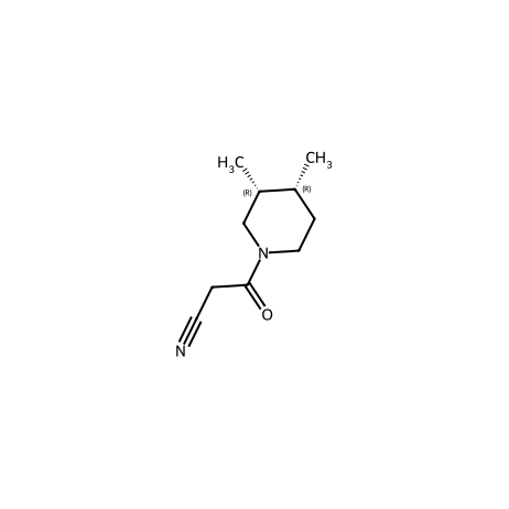 C[C@@H]1CCN(C(=O)CC#N)C[C@@H]1C